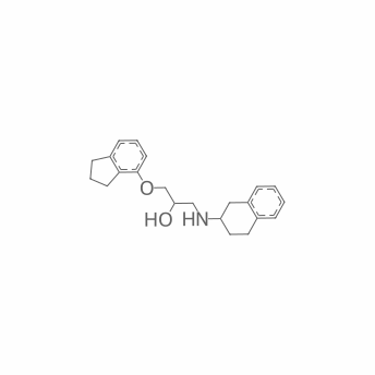 OC(CNC1CCc2ccccc2C1)COc1cccc2c1CCC2